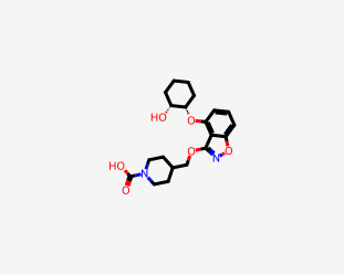 O=C(O)N1CCC(COc2noc3cccc(O[C@H]4CCCC[C@H]4O)c23)CC1